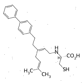 CC(C)=CCC(=CCN[C@@H](CS)C(=O)O)CCc1ccc(-c2ccccc2)cc1